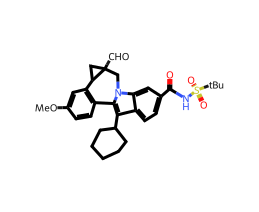 COc1ccc2c(c1)C1CC1(C=O)Cn1c-2c(C2CCCCC2)c2ccc(C(=O)NS(=O)(=O)C(C)(C)C)cc21